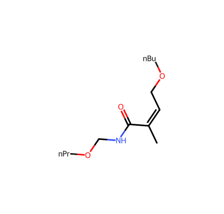 CCCCOCC=C(C)C(=O)NCOCCC